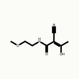 COCCNC(=O)/C(C#N)=C(/C)O